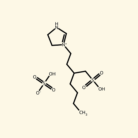 CCCCC(CC[N+]1=CNCC1)CS(=O)(=O)O.O=S(=O)([O-])O